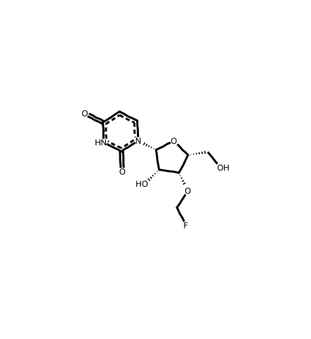 O=c1ccn([C@@H]2O[C@H](CO)[C@H](OCF)[C@@H]2O)c(=O)[nH]1